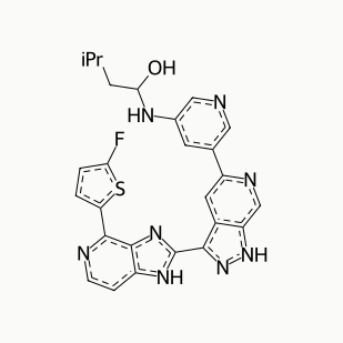 CC(C)CC(O)Nc1cncc(-c2cc3c(-c4nc5c(-c6ccc(F)s6)nccc5[nH]4)n[nH]c3cn2)c1